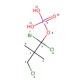 CC(C)(CCl)C(Cl)(Br)OP(=O)(O)O